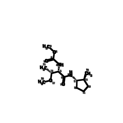 COC(=O)N[C@H](C(=O)N[C@H]1CCC[C@@H]1C)[C@@H](C)OC